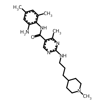 Cc1cc(C)c(NC(=O)c2cnc(NCCCC3CCN(C)CC3)nc2C)c(N)c1